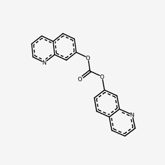 O=C(Oc1ccc2cccnc2c1)Oc1ccc2cccnc2c1